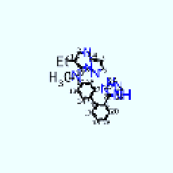 CCc1cnc2ccnn2c1N(C)c1ccc(-c2ccccc2-c2nnn[nH]2)cc1